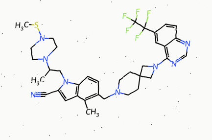 CSN1CCN(C(C)Cn2c(C#N)cc3c(C)c(CN4CCC5(CC4)CN(c4ncnc6ccc(C(F)(F)C(F)(F)F)cc46)C5)ccc32)CC1